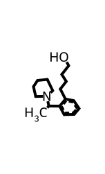 CC(c1ccccc1CCCCO)N1CCCCC1